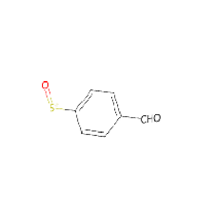 O=Cc1ccc([S+]=O)cc1